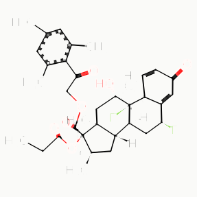 CCC(=O)O[C@]1(C(=O)OCC(=O)c2c(C)cc(C)cc2C)[C@H](C)C[C@H]2[C@@H]3C[C@H](F)C4=CC(=O)C=C[C@]4(C)[C@@]3(F)[C@@H](O)C[C@@]21C